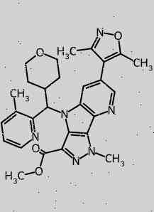 COC(=O)c1nn(C)c2c3ncc(-c4c(C)noc4C)cc3n(C(c3ncccc3C)C3CCOCC3)c12